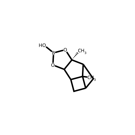 CC12C3CC1C1OB(O)O[C@@]1(C)C2C3